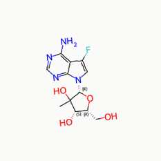 CC1(O)[C@@H](O)[C@@H](CO)O[C@H]1n1cc(F)c2c(N)ncnc21